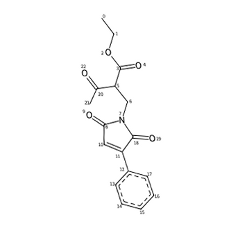 CCOC(=O)C(CN1C(=O)C=C(c2ccccc2)C1=O)C(C)=O